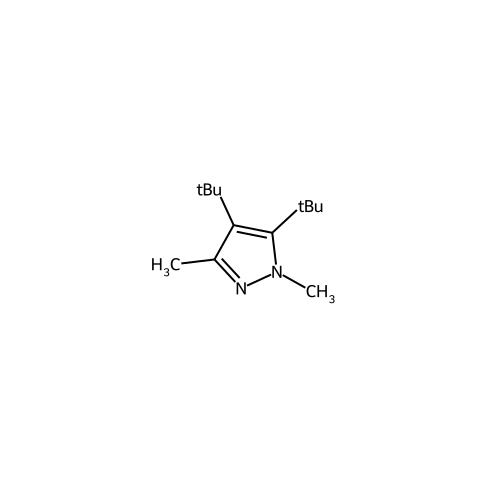 Cc1nn(C)c(C(C)(C)C)c1C(C)(C)C